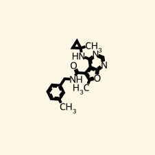 Cc1cccc(CNC(=O)c2c(C)oc3ncnc(NC4(C)CC4)c23)c1